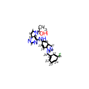 C[C](O)n1ccc2ncnc(Nc3ccc4c(cnn4Cc4cccc(F)c4)c3)c21